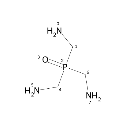 NCP(=O)(CN)CN